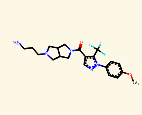 COc1ccc(-n2ncc(C(=O)N3CC4CN(CCCN)CC4C3)c2C(F)(F)F)cc1